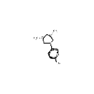 C[C@@H]1C[C@H](C)CN(c2ccc(C(C)(C)C)nc2)C1